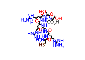 C[C@@H](O)[C@H](NC(=O)[C@H](CO)NC(=O)[C@H](CCCNC(=N)N)NC(=O)[C@H](CCCNC(=N)N)NC(=O)CNC(=O)[C@H](CCCNC(=N)N)NC(=O)[C@@H](N)CS)C(=O)O